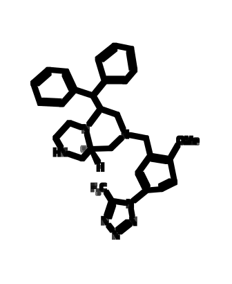 COc1ccc(-n2nnnc2C(F)(F)F)cc1CN1CC(C(c2ccccc2)c2ccccc2)N2CCNC[C@H]2C1